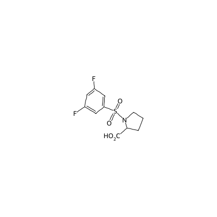 O=C(O)C1CCCN1S(=O)(=O)c1cc(F)cc(F)c1